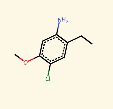 CCc1cc(Cl)c(OC)cc1N